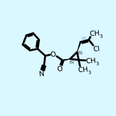 C/C(Cl)=C/[C@@H]1[C@H](C(=O)OC(C#N)c2ccccc2)C1(C)C